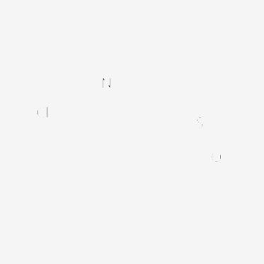 Cc1cc(Cl)ncc1[S+](C)[O-]